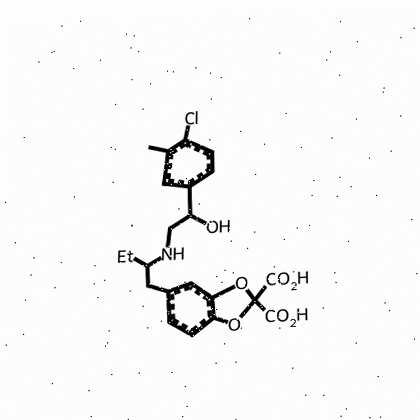 CCC(Cc1ccc2c(c1)OC(C(=O)O)(C(=O)O)O2)NCC(O)c1ccc(Cl)c(C)c1